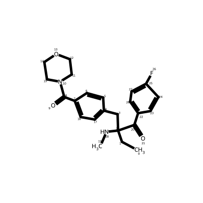 CCC(Cc1ccc(C(=O)N2CCOCC2)cc1)(NC)C(=O)c1ccc(F)cc1